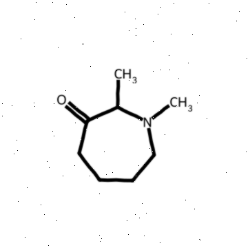 CC1C(=O)CCCCN1C